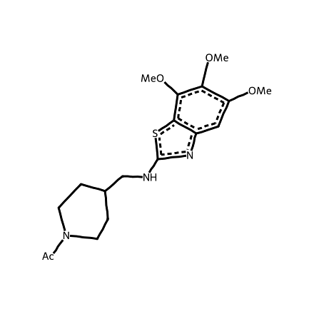 COc1cc2nc(NCC3CCN(C(C)=O)CC3)sc2c(OC)c1OC